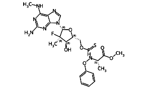 CNc1nc(N)nc2c1ncn2[C@@H]1O[C@H](CO[PH](=S)N(Oc2ccccc2)[C@@H](C)C(=O)OC)[C@@H](O)[C@@]1(C)F